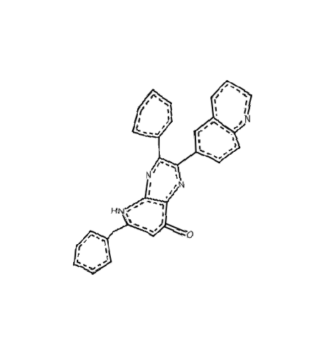 O=c1cc(-c2ccccc2)[nH]c2nc(-c3ccccc3)c(-c3ccc4ncccc4c3)nc12